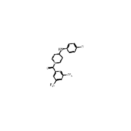 O=C(c1cc(C(F)(F)F)cc(C(F)(F)F)c1)N1CCC(Nc2ccc(Cl)cc2)CC1